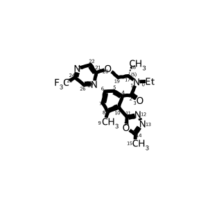 CCN(C(=O)c1cccc(C)c1-c1nnc(C)o1)[C@@H](C)COc1cnc(C(F)(F)F)cn1